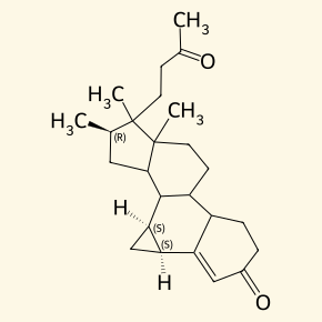 CC(=O)CCC1(C)[C@H](C)CC2C3C(CCC21C)C1CCC(=O)C=C1[C@H]1C[C@@H]31